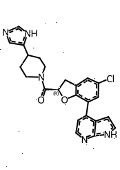 O=C([C@H]1Cc2cc(Cl)cc(-c3ccnc4[nH]ccc34)c2O1)N1CCC(c2cnc[nH]2)CC1